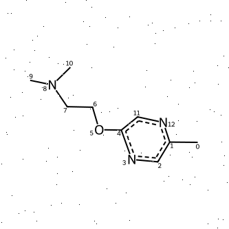 Cc1cnc(OCCN(C)C)cn1